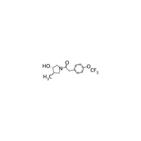 C[C@@H]1CN(C(=O)Cc2ccc(OC(F)(F)F)cc2)C[C@H]1O